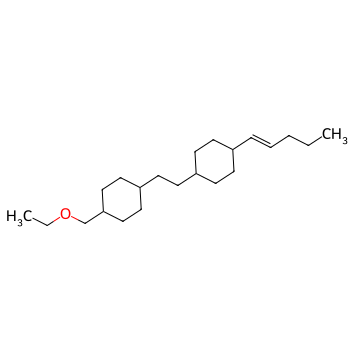 CCC/C=C/C1CCC(CCC2CCC(COCC)CC2)CC1